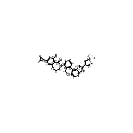 Cn1cc(-c2nc3nccc(-c4cccc(N5CCOc6cc(C7CC7)cc(F)c6C5=O)c4CO)c3[nH]2)cn1